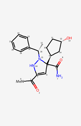 CNC(=O)C1=CC(C(N)=O)([C@H]2CC[C@H](O)C2)N([C@@H](C)c2ccccc2)N1